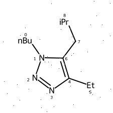 CCCCn1nnc(CC)c1CC(C)C